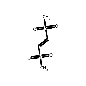 CS(=O)(=O)/C=C/S(C)(=O)=O